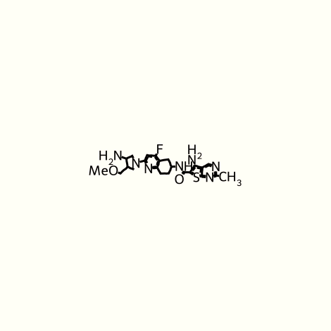 COCC1CN(c2cc(F)c3c(n2)CCC(NC(=O)c2sc4nc(C)ncc4c2N)C3)CC1N